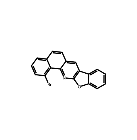 Brc1cccc2ccc3cc4c(nc3c12)oc1ccccc14